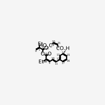 C=C(CC)C(=O)OC(=O)C(=CC=Cc1ccccc1)CC.O=C(O)/C=C\C(=O)O